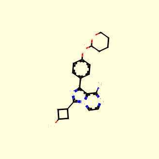 Nc1nccn2c(C3CC(O)C3)nc(-c3ccc(OC4CCCCO4)cc3)c12